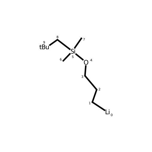 [Li][CH2]CCO[Si](C)(C)CC(C)(C)C